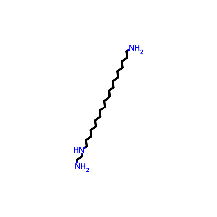 NCCCCCCCCC=CCCCCCCCCCCNCCN